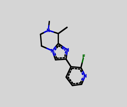 CC1c2nc(-c3cccnc3F)cn2CCN1C